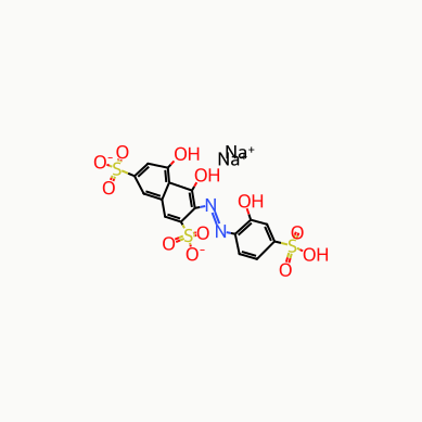 O=S(=O)([O-])c1cc(O)c2c(O)c(N=Nc3ccc(S(=O)(=O)O)cc3O)c(S(=O)(=O)[O-])cc2c1.[Na+].[Na+]